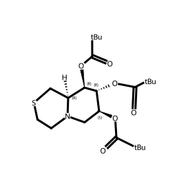 CC(C)(C)C(=O)O[C@H]1[C@H](OC(=O)C(C)(C)C)[C@@H]2CSCCN2C[C@@H]1OC(=O)C(C)(C)C